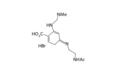 Br.CNCNC1=CC(=NCCNC(C)=O)CC=C1C(=O)O